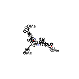 C=CC1CC(/C=C\C2CC(/C=C\C3CC(C=C)[C@@H]4C(=O)N(Cc5cn(C(CC(C)(C)C(=O)OC)c6ccccc6)nn5)C(=O)[C@H]34)[C@@H]3C(=O)N(CCCCCC(=O)OCCOC)C(=O)[C@H]23)[C@@H]2C(=O)C(Cc3cn(C(CC(C)(C)C(=O)OC)c4ccccc4)nn3)C(=O)[C@H]12